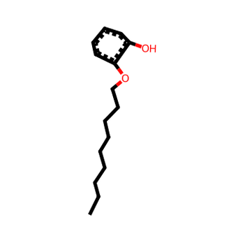 CCCCCCCCCOc1ccccc1O